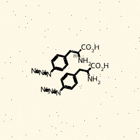 [N-]=[N+]=Nc1ccc(CC(N)C(=O)O)cc1.[N-]=[N+]=Nc1ccc(C[C@H](N)C(=O)O)cc1